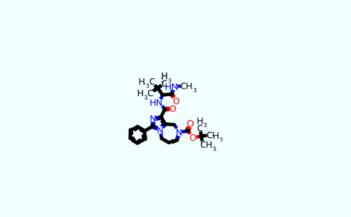 CNC(=O)C(NC(=O)c1nc(-c2ccccc2)n2c1CN(C(=O)OC(C)(C)C)CCC2)C(C)(C)C